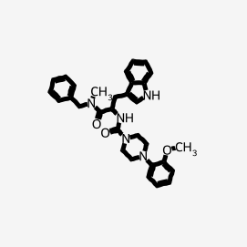 COc1ccccc1N1CCN(C(=O)NC(Cc2c[nH]c3ccccc23)C(=O)N(C)Cc2ccccc2)CC1